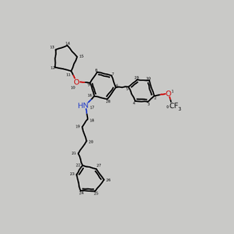 FC(F)(F)Oc1ccc(-c2ccc(OC3CCCC3)c(NCCCCc3ccccc3)c2)cc1